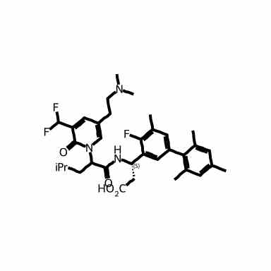 Cc1cc(C)c(-c2cc(C)c(F)c([C@H](CC(=O)O)NC(=O)C(CC(C)C)n3cc(CCN(C)C)cc(C(F)F)c3=O)c2)c(C)c1